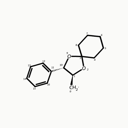 [CH2][C@@H]1OC2(CCCCC2)O[C@H]1c1ccccc1